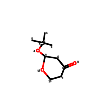 C[Si](C)(C)OC1CC(=O)CCO1